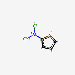 ClN(Cl)c1cccs1